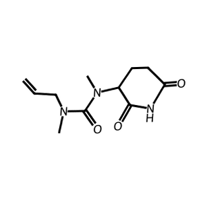 C=CCN(C)C(=O)N(C)C1CCC(=O)NC1=O